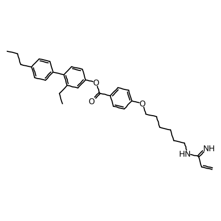 C=CC(=N)NCCCCCCOc1ccc(C(=O)Oc2ccc(-c3ccc(CCC)cc3)c(CC)c2)cc1